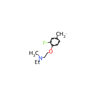 [CH2]c1ccc(OCCN(C)CC)c(F)c1